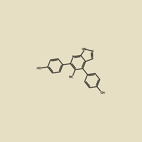 N#Cc1c(-c2ccc(O)cc2)nc2[nH]ncc2c1-c1ccc(O)cc1